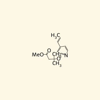 CC=Cc1ccnc(OC(C)(C)CC(=O)OC)c1